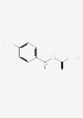 CC(C)(C)C(=O)N[C@@H](C(=O)O)c1ccc(O)cc1